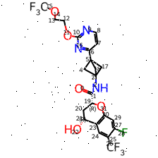 O=C(NC12CC(c3ccnc(OCCOC(F)(F)F)n3)(C1)C2)[C@H]1C[C@@H](O)c2cc(C(F)(F)F)c(F)cc2O1